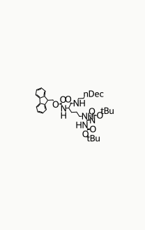 CCCCCCCCCCCCNC(=O)C(CCCN/C(=N\C(=O)OC(C)(C)C)NC(=O)OC(C)(C)C)NC(=O)OCC1c2ccccc2-c2ccccc21